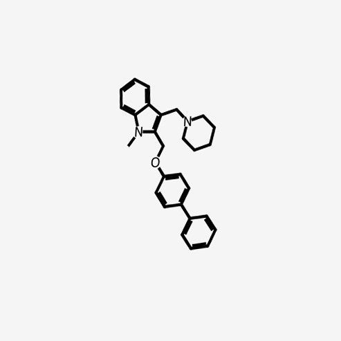 Cn1c(COc2ccc(-c3ccccc3)cc2)c(CN2CCCCC2)c2ccccc21